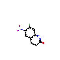 O=c1ccc2cc([N+](=O)[O-])c(F)cc2[nH]1